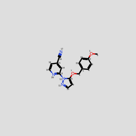 COc1ccc(COc2ccnn2-c2cc(C#N)ccn2)cc1